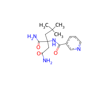 CC(C)(C)CC(CC(N)=O)(NC(=O)c1cccnc1)C(N)=O